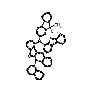 CC1(C)c2ccccc2-c2ccc(N(c3cccc4c3sc3ccccc34)c3cccc4oc5c(-c6cccc7ccccc67)c6ccccc6cc5c34)cc21